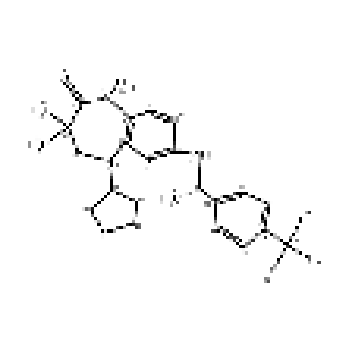 C[C@H](Nc1ncc2c(n1)N(C1CCCC1)CC(C)(C)C(=O)N2C)c1ccc(C(F)(F)F)cc1